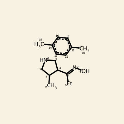 CCC(=NO)C1CNCC1C.Cc1ccc(C)cc1